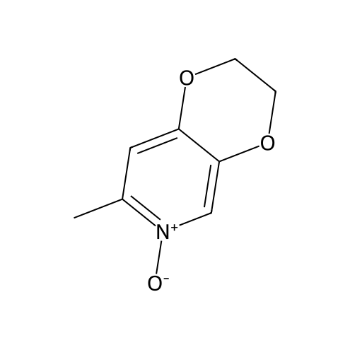 Cc1cc2c(c[n+]1[O-])OCCO2